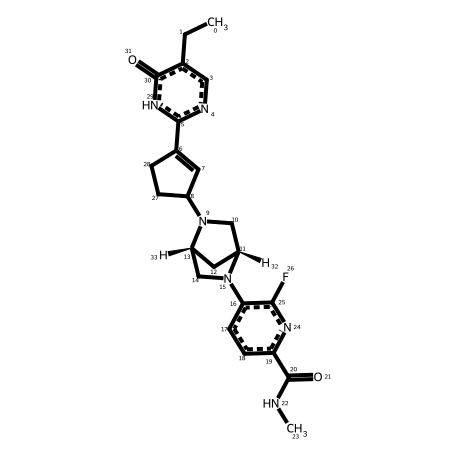 CCc1cnc(C2=CC(N3C[C@H]4C[C@@H]3CN4c3ccc(C(=O)NC)nc3F)CC2)[nH]c1=O